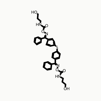 O=C(NCCCO)O/N=C(\c1ccccc1)c1ccc(Sc2ccc(/C(=N/OC(=O)NCCCO)c3ccccc3)cc2)cc1